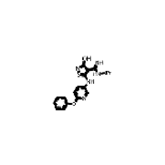 CC(C)NC(=N)c1c(O)nsc1Nc1ccc(Oc2ccccc2)nc1